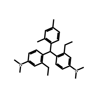 CCc1cc(N(C)C)ccc1C(c1ccc(C)cc1C)c1ccc(N(C)C)cc1CC